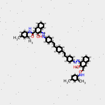 Cc1ccc(NOCc2cc3ccccc3c(N=Nc3ccc(C=Cc4ccc(C=Cc5ccc(N=Nc6c(O)c(C(=O)Nc7ccc(C)cc7C)cc7ccccc67)cc5)cc4)cc3)c2O)c(C)c1